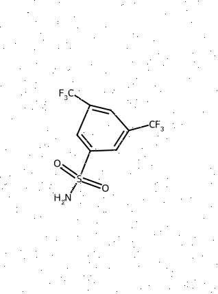 NS(=O)(=O)c1cc(C(F)(F)F)cc(C(F)(F)F)c1